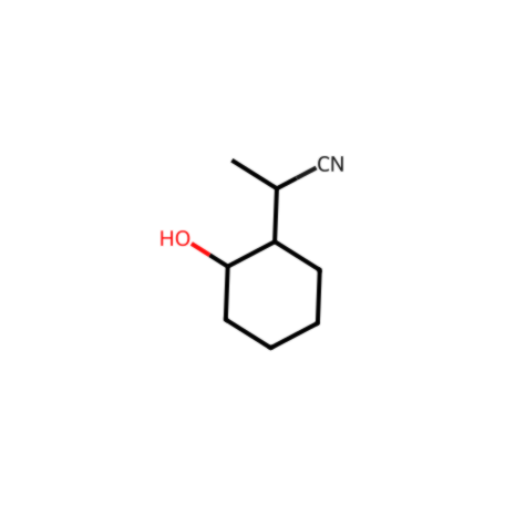 CC(C#N)C1CCCCC1O